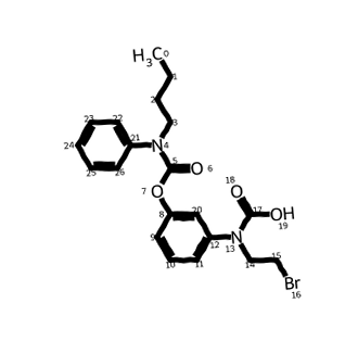 CCCCN(C(=O)Oc1cccc(N(CCBr)C(=O)O)c1)c1ccccc1